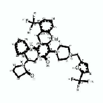 Cc1c(N2CCN(Cc3ccc(C(F)(F)F)o3)CC2)c(=O)n(CC(c2ccccc2)N2CCCC2=O)c(=O)n1Cc1c(F)cccc1C(F)(F)F